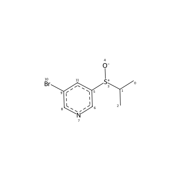 CC(C)[S+]([O-])c1cncc(Br)c1